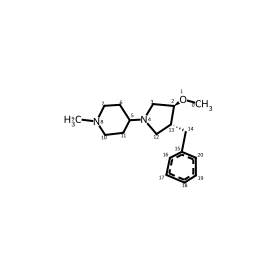 CO[C@@H]1CN(C2CCN(C)CC2)C[C@H]1Cc1ccccc1